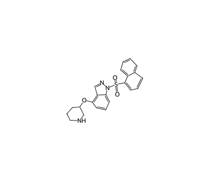 O=S(=O)(c1cccc2ccccc12)n1ncc2c(OC3CCCNC3)cccc21